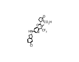 CN(C(=O)[C@@H]1CCC(=O)N1C(=O)O)[C@@H](c1ccc(N[C@H]2Cc3ccc(Cl)cc3C2)cn1)C(F)(F)F